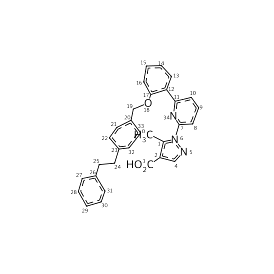 Cc1c(C(=O)O)cnn1-c1cccc(-c2ccccc2OCc2ccc(CCc3ccccc3)cc2)n1